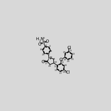 NS(=O)(=O)c1ccc(N2CC(c3ccc(Cl)cc3Oc3cccc(Cl)c3)CC2=O)cc1